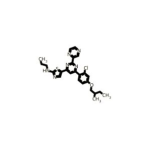 CCCNc1ncc(-c2cc(-c3ccc(OCC(C)CC)cc3Cl)nc(-c3cnccn3)n2)s1